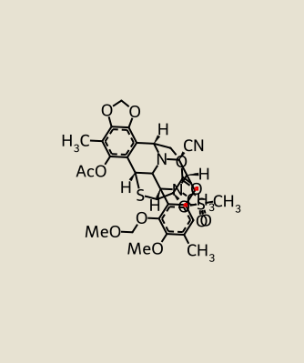 COCOc1c(OC)c(C)cc2c1[C@@H]1C3[C@@H]4SC[C@H](OS(C)(=O)=O)C(=O)OC[C@@H](c5c6c(c(C)c(OC(C)=O)c54)OCO6)N3[C@@H](C#N)[C@H](C2)N1C